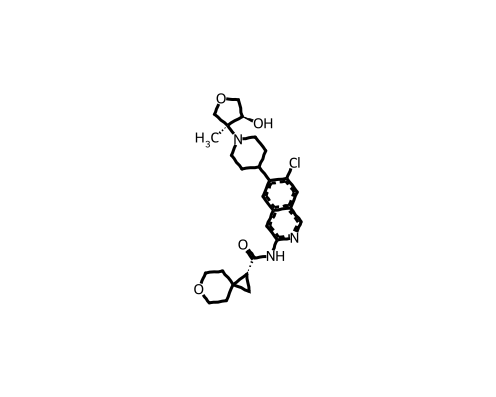 C[C@]1(N2CCC(c3cc4cc(NC(=O)[C@@H]5CC56CCOCC6)ncc4cc3Cl)CC2)COC[C@H]1O